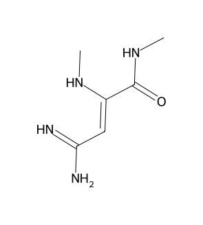 CNC(=O)/C(=C/C(=N)N)NC